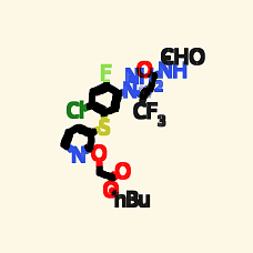 CCCCOC(=O)COc1ncccc1Sc1cc(N(N)/C(=C\C(=O)NC=O)C(F)(F)F)c(F)cc1Cl